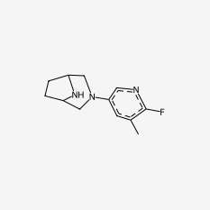 Cc1cc(N2CC3CCC(C2)N3)cnc1F